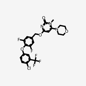 Cn1c(N2CCOCC2)cc(OCc2cc(F)c(Oc3ccc(Cl)c(C(F)(F)F)c3)c(F)c2)nc1=O